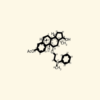 C=C[C@@]12CCc3cc(OC(C)=O)ccc3[C@H]1[C@@H](OCCN(C)c1ccccc1)C[C@]1(C)C(O)CC[C@@H]21